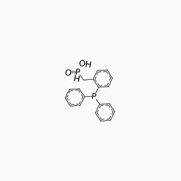 O=[PH](O)Cc1ccccc1P(c1ccccc1)c1ccccc1